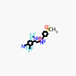 C[S+]([O-])c1ccc(-c2nnc(CC(NC(F)(F)F)c3ccc(C#N)c(C(F)(F)F)c3)o2)cc1